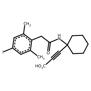 Cc1cc(I)cc(C)c1CC(=O)NC1(C#CC(=O)O)CCCCC1